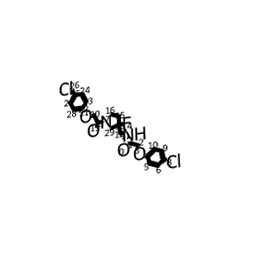 O=C(COc1ccc(Cl)cc1)NCC1(F)CCN(C(=O)COc2ccc(Cl)cc2)C1